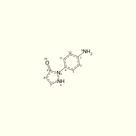 Nc1ccc(-n2[nH]ccc2=O)cc1